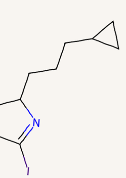 IC1=NC(CCCC2CC2)C=C1